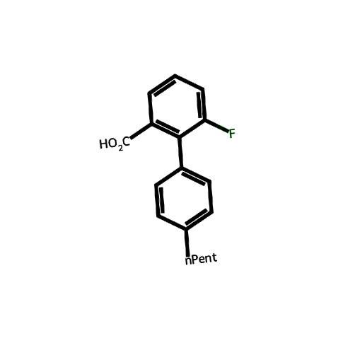 CCCCCc1ccc(-c2c(F)cccc2C(=O)O)cc1